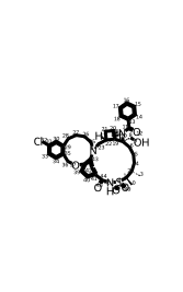 C[C@@H]1[C@@H](C)CCC[C@](CO)(NC(=O)c2ccccc2)[C@@H]2CC[C@H]2CN2CCCCc3cc(Cl)ccc3COc3ccc(cc32)C(=O)NS1(=O)=O